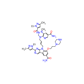 C=Nc1cc(C(N)=O)cnc1N(C/C=C/Cn1c2nc(-c3cc(C)nn3CC)ncc2c2cc(C(N)=O)cc(OCCCN3CCNCC3)c21)CNC(=O)c1cc(C)nn1CC